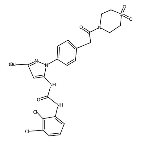 CC(C)(C)c1cc(NC(=O)Nc2cccc(Cl)c2Cl)n(-c2ccc(CC(=O)N3CCS(=O)(=O)CC3)cc2)n1